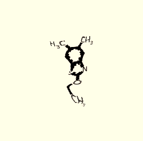 CCOc1nc2cc(C)c(C)cc2s1